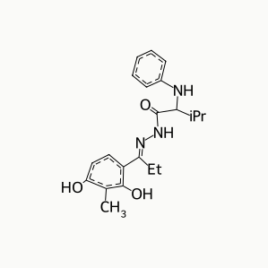 CC/C(=N\NC(=O)C(Nc1ccccc1)C(C)C)c1ccc(O)c(C)c1O